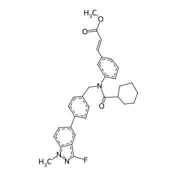 COC(=O)/C=C/c1cccc(N(Cc2ccc(-c3ccc4c(c3)c(F)nn4C)cc2)C(=O)C2CCCCC2)c1